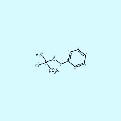 CCOC(=O)C(C)(Cl)SCc1ccccc1